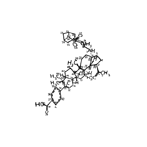 C=C(C)[C@@H]1CC[C@]2(NCCN3CC4CC(C3)N4S(C)(=O)=O)CC[C@]3(C)[C@H](CC[C@@H]4[C@@]5(C)CC=C(c6ccc(C(=O)O)cc6)C(C)(C)[C@@H]5CC[C@]43C)[C@@H]12